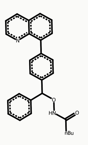 CCCCC(=O)NOC(c1ccccc1)c1ccc(-c2cccc3cccnc23)cc1